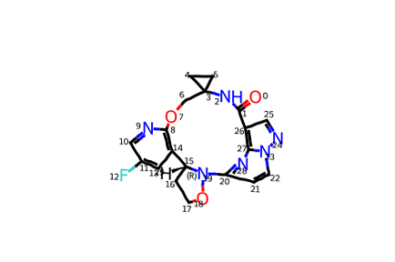 O=C1NC2(CC2)COc2ncc(F)cc2[C@H]2CCON2c2ccn3ncc1c3n2